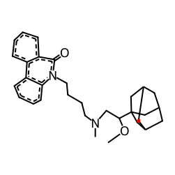 COC(CN(C)CCCCn1c(=O)c2ccccc2c2ccccc21)C12CC3CC(CC(C3)C1)C2